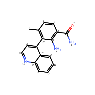 Cc1ccc(C(N)=O)c(N)c1-c1ccnc2ccccc12